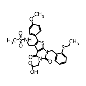 CCSc1ccccc1Cn1c(=O)n(CC(=O)O)c(=O)c2c(CNS(C)(=O)=O)c(-c3ccc(OC)cc3)sc21